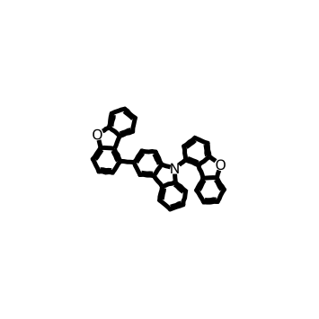 c1ccc2c(c1)oc1cccc(-c3ccc4c(c3)c3ccccc3n4-c3cccc4oc5ccccc5c34)c12